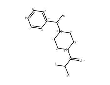 CC(C)C(=O)N1CCN(C(C)c2ccccc2)CC1